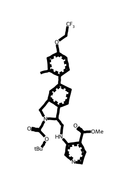 COC(=O)c1ccncc1NCC1c2ccc(-c3ccc(OCC(F)(F)F)cc3C)cc2CN1C(=O)OC(C)(C)C